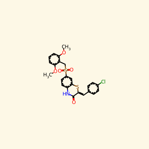 COc1cccc(OC)c1CS(=O)(=O)c1ccc2c(c1)S/C(=C\c1ccc(Cl)cc1)C(=O)N2